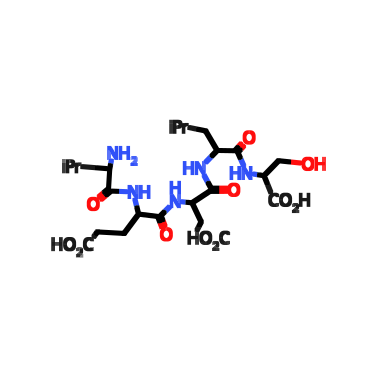 CC(C)CC(NC(=O)C(CC(=O)O)NC(=O)C(CCC(=O)O)NC(=O)C(N)C(C)C)C(=O)NC(CO)C(=O)O